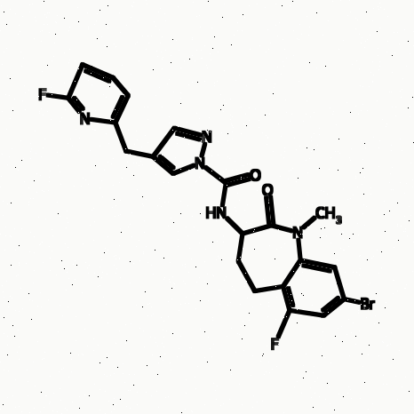 CN1C(=O)C(NC(=O)n2cc(Cc3cccc(F)n3)cn2)CCc2c(F)cc(Br)cc21